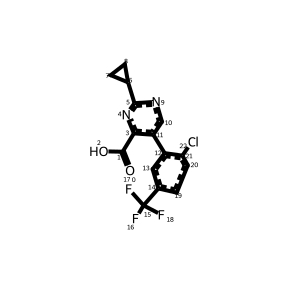 O=C(O)c1nc(C2CC2)ncc1-c1cc(C(F)(F)F)ccc1Cl